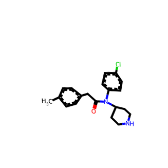 Cc1ccc(CC(=O)N(c2ccc(Cl)cc2)C2CCNCC2)cc1